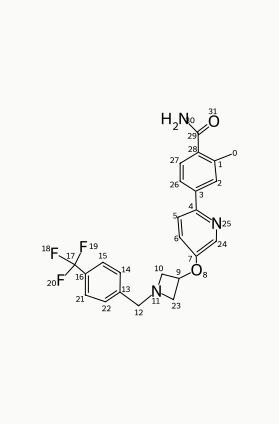 Cc1cc(-c2ccc(OC3CN(Cc4ccc(C(F)(F)F)cc4)C3)cn2)ccc1C(N)=O